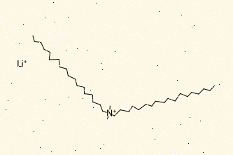 CCCCCCCCCCCCCCCCCC[N+](C)(C)CCCCCCCCCCCCCCCCCC.[Li+]